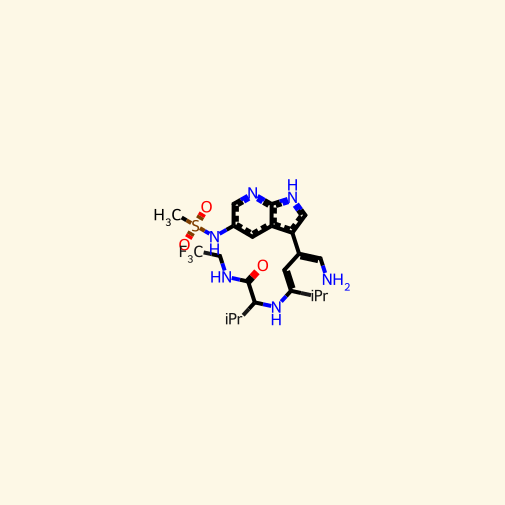 CC(C)/C(=C\C(=C/N)c1c[nH]c2ncc(NS(C)(=O)=O)cc12)NC(C(=O)NCC(F)(F)F)C(C)C